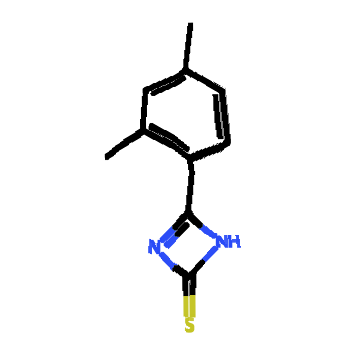 Cc1ccc(C2=NC(=S)N2)c(C)c1